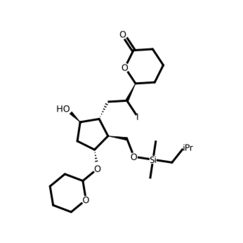 CC(C)C[Si](C)(C)OC[C@@H]1[C@@H](CC(I)[C@@H]2CCCC(=O)O2)[C@H](O)C[C@H]1OC1CCCCO1